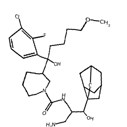 COCCCCC(O)(c1cccc(Cl)c1F)C1CCCN(C(=O)NC(CN)C(O)C23CC4CC(CC2C4)C3)C1